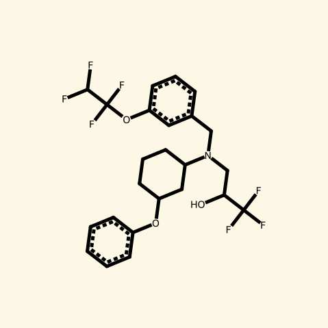 OC(CN(Cc1cccc(OC(F)(F)C(F)F)c1)C1CCCC(Oc2ccccc2)C1)C(F)(F)F